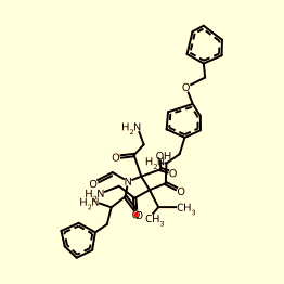 CC(C)C(C(=O)CN)(C(=O)C(N)Cc1ccc(OCc2ccccc2)cc1)C(C(=O)O)(C(=O)CN)N(C=O)C(=O)C(N)Cc1ccccc1